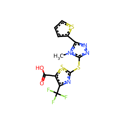 Cn1c(Sc2nc(C(F)(F)F)c(C(=O)O)s2)nnc1-c1cccs1